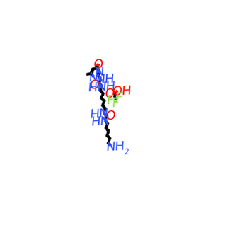 Cc1cc(=O)nc(NC(=O)NCCCCCCNC(=O)NCCCCCCN)[nH]1.O=C(O)C(F)(F)F